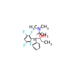 CCC(O)[C@@](C[C@H](C)N(C)C)(c1ccccc1)c1c(F)c(F)cc(F)c1F